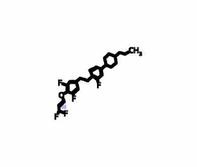 CCCC1CCC(c2ccc(CCc3cc(F)c(O/C=C/C(F)F)c(F)c3)c(F)c2)CC1